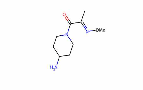 CON=C(C)C(=O)N1CCC(N)CC1